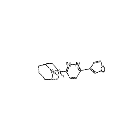 CN1C2CCCC1CN(c1ccc(-c3ccoc3)nn1)C2